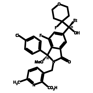 CC[C@@](O)(c1cc(F)c2c(c1)C(=O)N(Cc1ccc(C)nc1C(=O)O)[C@@]2(OC)c1ccc(Cl)cc1)C1(F)CCOCC1